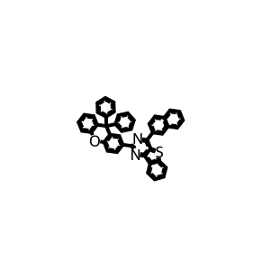 c1ccc(C2(c3ccccc3)c3ccccc3Oc3ccc(-c4nc(-c5ccc6ccccc6c5)c5sc6ccccc6c5n4)cc32)cc1